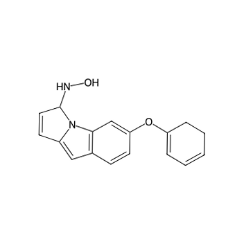 ONC1C=Cc2cc3ccc(OC4=CC=CCC4)cc3n21